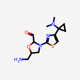 CN(C)C1(c2csc(N3CC(CN)OC3C=O)n2)CC1